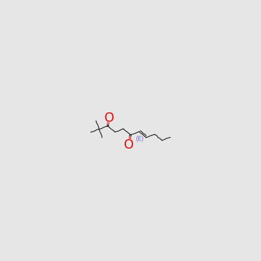 CCC/C=C/C(=O)CCC(=O)C(C)(C)C